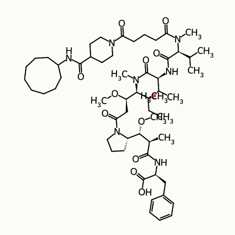 CC[C@H](C)[C@@H]([C@@H](CC(=O)N1CCC[C@H]1[C@H](OC)[C@@H](C)C(=O)N[C@@H](Cc1ccccc1)C(=O)O)OC)N(C)C(=O)[C@@H](NC(=O)[C@H](C(C)C)N(C)C(=O)CCCC(=O)N1CCC(C(=O)NC2CCCCCCCC2)CC1)C(C)C